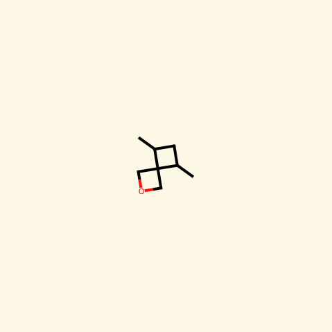 CC1CC(C)C12COC2